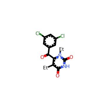 CCc1c(C(=O)c2cc(Cl)cc(Cl)c2)n(CC)c(=O)[nH]c1=O